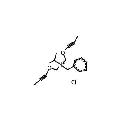 CC#COC[N+](COC#CC)(Cc1ccccc1)C(C)C.[Cl-]